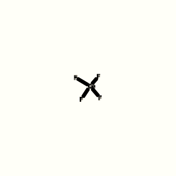 [F][Ge]([F])([F])[F]